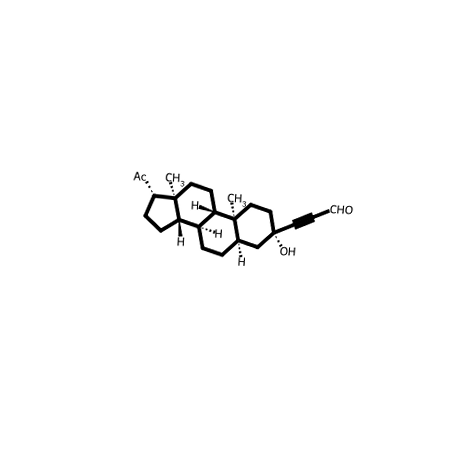 CC(=O)[C@H]1CC[C@H]2[C@@H]3CC[C@@H]4C[C@](O)(C#CC=O)CC[C@]4(C)[C@H]3CC[C@]12C